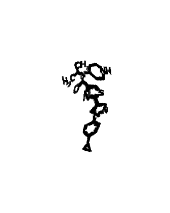 CC(C)N(C(=O)c1csc(-c2cnn(-c3ccc(C4CC4)cc3)c2)n1)C1CCNCC1